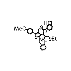 CCSCc1cn(Cc2ccccc2F)c2sc(-c3ccc(OC)cc3)c(CN(C)Cc3ccccc3)c2c1=O.Cl